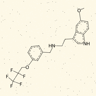 COc1ccc2[nH]cc(CCNCc3cccc(OCC(F)(F)C(F)(F)F)c3)c2c1